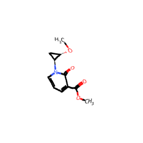 COC(=O)c1cccn([C@H]2C[C@@H]2OC)c1=O